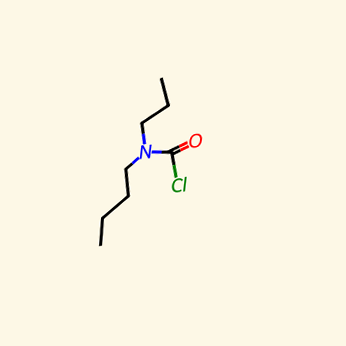 CCCCN(CCC)C(=O)Cl